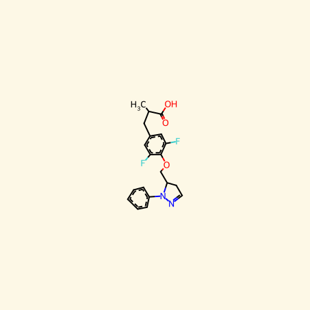 CC(Cc1cc(F)c(OCC2CC=NN2c2ccccc2)c(F)c1)C(=O)O